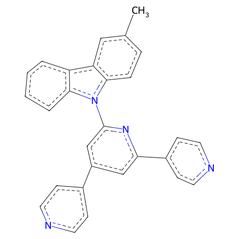 Cc1ccc2c(c1)c1ccccc1n2-c1cc(-c2ccncc2)cc(-c2ccncc2)n1